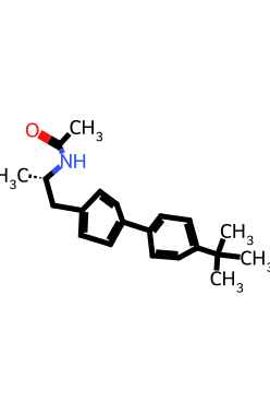 CC(=O)N[C@@H](C)Cc1ccc(-c2ccc(C(C)(C)C)cc2)cc1